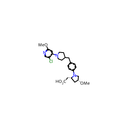 COc1cc(N2CCC(Cc3ccc(N4C[C@H](OC)C[C@@H]4CC(=O)O)cc3)CC2)c(Cl)cn1